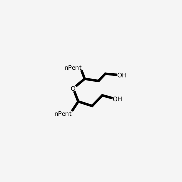 CCCCCC(CCO)OC(CCO)CCCCC